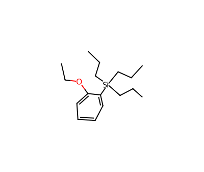 CCC[Si](CCC)(CCC)c1ccccc1OCC